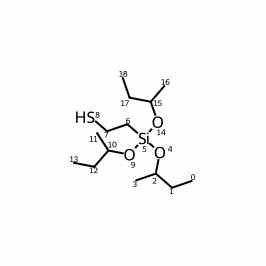 CCC(C)O[Si](CCS)(OC(C)CC)OC(C)CC